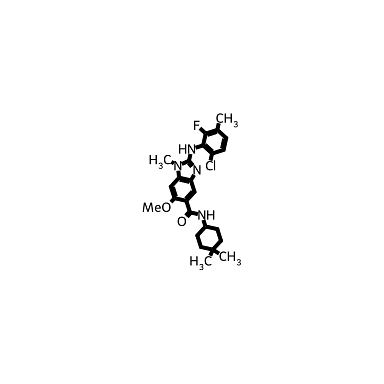 COc1cc2c(cc1C(=O)NC1CCC(C)(C)CC1)nc(Nc1c(Cl)ccc(C)c1F)n2C